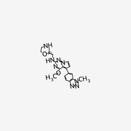 COc1nc(NC[C@@H]2CNCCO2)nn2ccc(-c3ccc4nnn(C)c4c3)c12